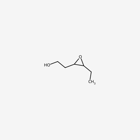 CCC1OC1CCO